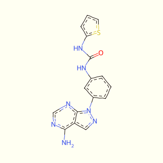 Nc1ncnc2c1cnn2-c1cccc(NC(=O)Nc2cccs2)c1